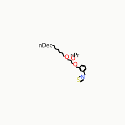 CCCCCCCCCCCCCCCCOCC(COCc1cccc(CN2C=CSC2)c1)OCCC